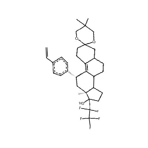 C=Cc1ccc([C@H]2C[C@@]3(C)C(CCC3(O)C(F)(F)C(F)(F)F)C3CCC4CC5(CCC4=C32)OCC(C)(C)CO5)cc1